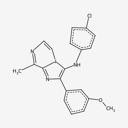 COc1cccc(C2=C(Nc3ccc(Cl)cc3)I3C=CN=C(C)C3=N2)c1